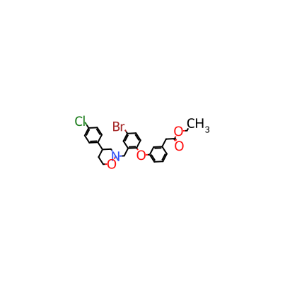 CCOC(=O)Cc1cccc(Oc2ccc(Br)cc2CN2CC(c3ccc(Cl)cc3)CCO2)c1